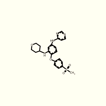 CS(=O)(=O)c1ccc(Oc2ccc(Nc3ccncn3)cc2NC2CCOCC2)cc1